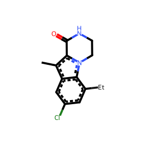 CCc1cc(Cl)cc2c(C)c3n(c12)CCNC3=O